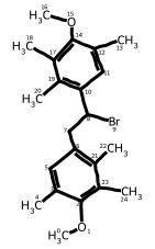 COc1c(C)cc(CC(Br)c2cc(C)c(OC)c(C)c2C)c(C)c1C